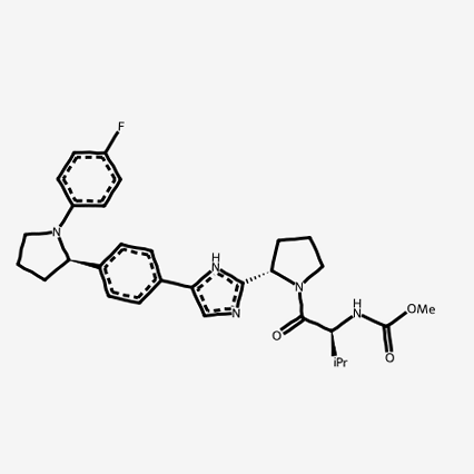 COC(=O)N[C@H](C(=O)N1CCC[C@H]1c1ncc(-c2ccc([C@H]3CCCN3c3ccc(F)cc3)cc2)[nH]1)C(C)C